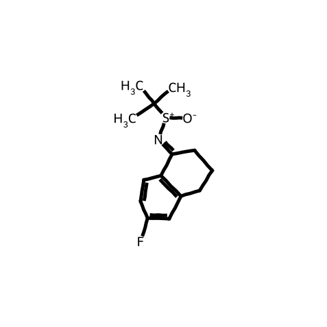 CC(C)(C)[S+]([O-])/N=C1\CCCc2cc(F)ccc21